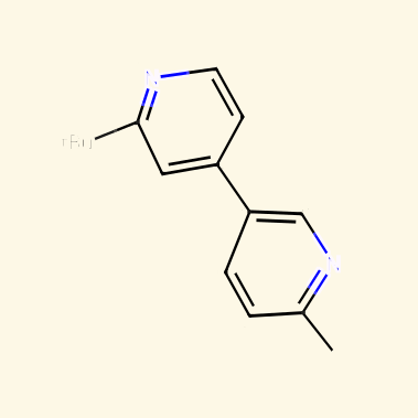 Cc1ccc(-c2ccnc(C(C)(C)C)c2)cn1